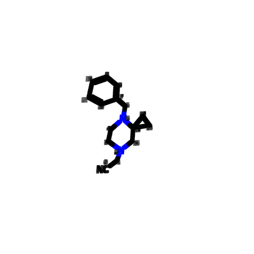 N#CCN1CCN(Cc2ccccc2)C2(CC2)C1